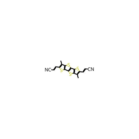 Cc1c(/C=C/C#N)sc2c1sc1c3sc(/C=C/C#N)c(C)c3sc21